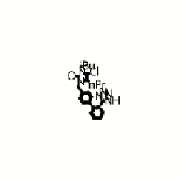 CCCc1c(Cl)n(C(C)CC)c(=O)n1Cc1ccc(-c2ccccc2-c2nnn[nH]2)cc1